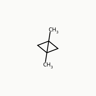 CC12CC1(C)C2